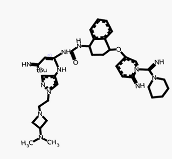 CN(C)C1CN(CCn2cc(N/C(=C\C(=N)C(C)(C)C)NC(=O)NC3CCC(Oc4ccc(=N)n(C(=N)N5CCCCC5)c4)c4ccccc43)cn2)C1